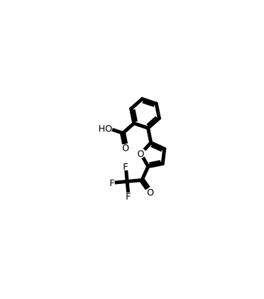 O=C(O)c1ccccc1-c1ccc(C(=O)C(F)(F)F)o1